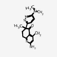 Cc1cc(N)nc2c1C(=O)C(C)(c1ccc(N(C)C)nn1)CC2